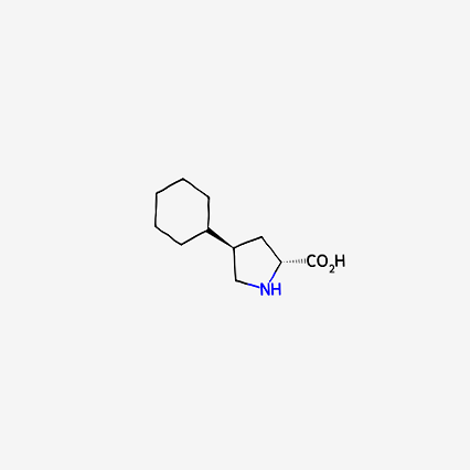 O=C(O)[C@H]1C[C@H](C2CCCCC2)CN1